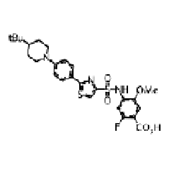 COc1cc(C(=O)O)c(F)cc1NS(=O)(=O)c1csc(-c2ccc(N3CCC(C(C)(C)C)CC3)cc2)n1